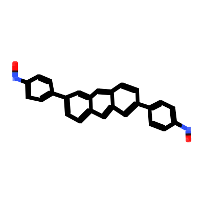 O=Nc1ccc(-c2ccc3cc4cc(-c5ccc(N=O)cc5)ccc4cc3c2)cc1